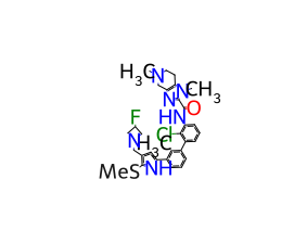 CSc1[nH]c(-c2cccc(-c3cccc(NC(=O)c4nc5c(n4C)CCN(C)C5)c3Cl)c2C)cc1CN1CC(F)C1